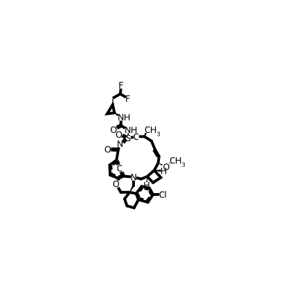 CO[C@H]1/C=C/C[C@H](C)C[S@@](=O)(NC(=O)N[C@H]2C[C@@H]2CC(F)F)=NC(=O)c2ccc3c(c2)N(C[C@@H]2CC[C@H]21)C[C@@]1(CCCc2cc(Cl)ccc21)CO3